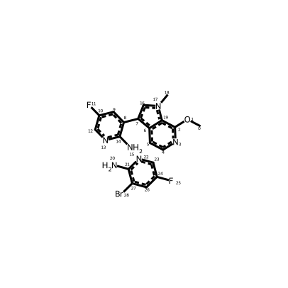 COc1nccc2c(-c3cc(F)cnc3N)cn(C)c12.Nc1ncc(F)cc1Br